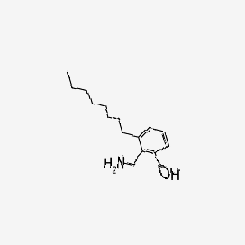 CCCCCCCCc1cccc(O)c1CN